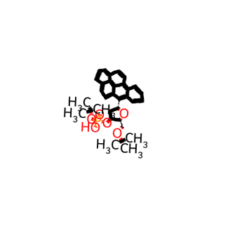 CC(C)(C)OC[C@H]1O[C@@H](c2c3ccccc3c3ccc4cccc5ccc2c3c54)CC1OP(=O)(O)OC(C)(C)C